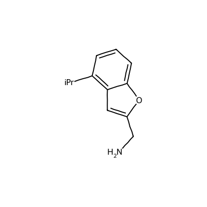 CC(C)c1cccc2oc(CN)cc12